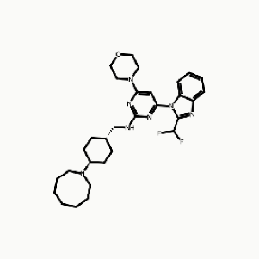 FC(F)c1nc2ccccc2n1-c1cc(N2CCOCC2)nc(NC[C@H]2CC[C@H](N3CCCCCCC3)CC2)n1